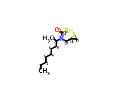 CCCCCCCC(C)N(CC1CS1)C(=O)S